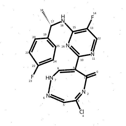 C=C1/N=C(Cl)\C=N/N/C=C\1c1ncc(F)c(N[C@@H](C)c2ccc(F)cc2)n1